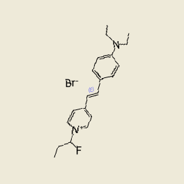 CCC(F)[n+]1ccc(/C=C/c2ccc(N(CC)CC)cc2)cc1.[Br-]